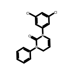 O=C1N(c2cc(Cl)cc(Cl)c2)C=CCN1c1ccccc1